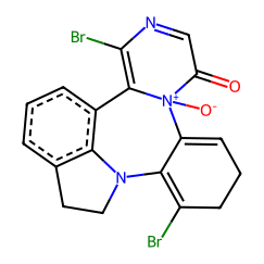 O=C1C=NC(Br)=C2c3cccc4c3N(CC4)C3=C(Br)CCC=C3[N+]12[O-]